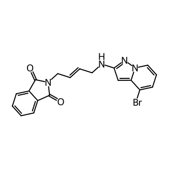 O=C1c2ccccc2C(=O)N1C/C=C/CNc1cc2c(Br)cccn2n1